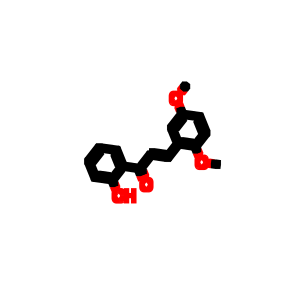 COc1ccc(OC)c(C=CC(=O)c2ccccc2O)c1